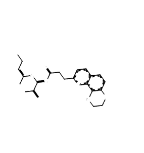 C=C(C)/C(=N/C(=N)CCc1ccc2ccc3c(c2n1)NCCO3)N/C(C)=C\CC